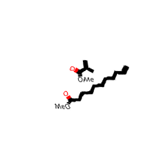 C=C(C)C(=O)OC.C=CCCCCCCCCC(=O)OC